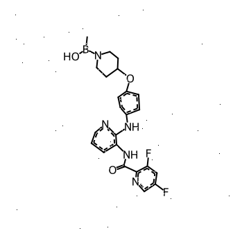 CB(O)N1CCC(Oc2ccc(Nc3ncccc3NC(=O)c3ncc(F)cc3F)cc2)CC1